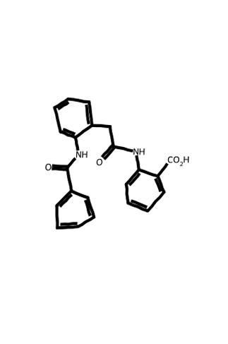 O=C(Cc1ccccc1NC(=O)c1ccccc1)Nc1ccccc1C(=O)O